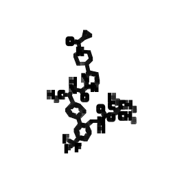 C[C@@H](NC(=O)c1nccc(C2CCN(C(=O)C3CC3)CC2)n1)c1ccc(-c2cc(C(F)(F)F)ccc2CNC(=O)OC(C)(C)C)cc1